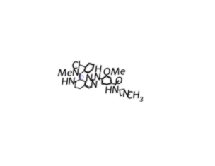 CN/C(=C1\C(=N)CCc2cnc(Nc3ccc(C(=O)NC4CN(C)C4)cc3OC)nc21)c1ccccc1Cl